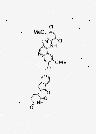 COc1cc(Nc2c(C#N)cnc3cc(OCc4ccc5c(c4)CN(C4CCC(=O)NC4=O)C5=O)c(OC)cc23)c(Cl)cc1Cl